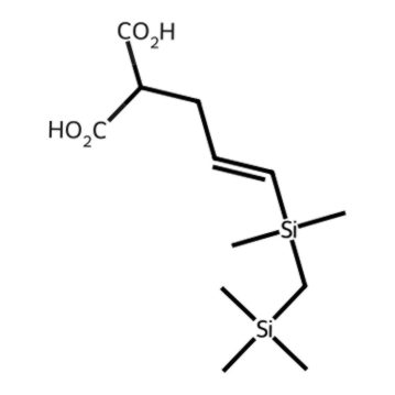 C[Si](C)(C)C[Si](C)(C)C=CCC(C(=O)O)C(=O)O